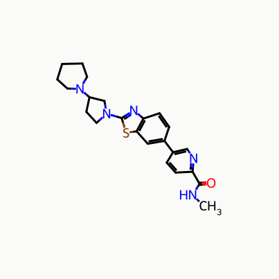 CNC(=O)c1ccc(-c2ccc3nc(N4CCC(N5CCCCC5)C4)sc3c2)cn1